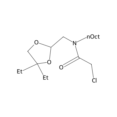 CCCCCCCCN(CC1OCC(CC)(CC)O1)C(=O)CCl